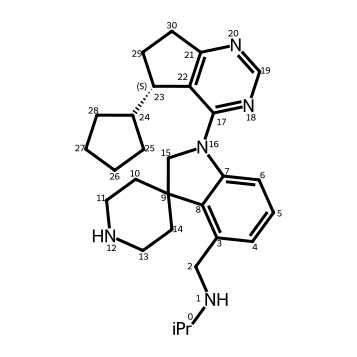 CC(C)NCc1cccc2c1C1(CCNCC1)CN2c1ncnc2c1[C@H](C1CCCC1)CC2